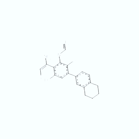 C=CNc1c(CC)c(-c2ccc3c(c2)CCCC3)cc(C)c1/C(N)=C\CC